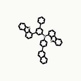 c1ccc(-c2cc(-c3cccc4c3sc3ccccc34)cc(N(c3ccc(-c4ccc5ccccc5c4)cc3)c3cccc4c3sc3ccccc34)c2)cc1